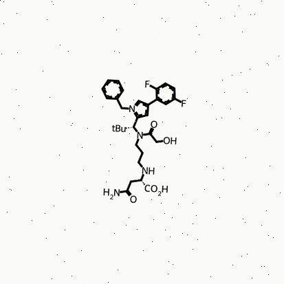 CC(C)(C)[C@H](c1cc(-c2cc(F)ccc2F)cn1Cc1ccccc1)N(CCCN[C@@H](CC(N)=O)C(=O)O)C(=O)CO